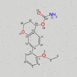 CCOc1ccccc1-c1ccc2c(c1)OCCC2OC(N)=O